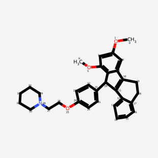 COc1cc(OC)c2c(c1)C1=C(c3ccccc3CC1)C2c1ccc(OCCN2CCCCC2)cc1